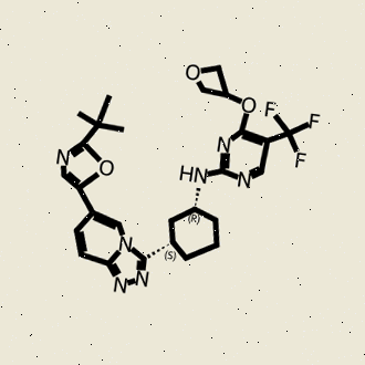 CC(C)(C)c1ncc(-c2ccc3nnc([C@H]4CCC[C@@H](Nc5ncc(C(F)(F)F)c(OC6COC6)n5)C4)n3c2)o1